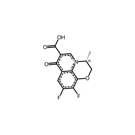 C[C@@H]1COc2c(F)c(F)cc3c(=O)c(C(=O)O)cn1c23